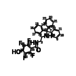 O=C(NCCNC(c1ccccc1)(c1ccccc1)c1ccccc1)c1c(F)c(F)c(O)c(F)c1F